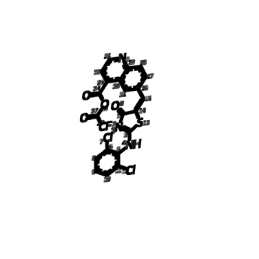 O=C1N=C(Nc2c(Cl)cccc2Cl)SC1=Cc1ccc2nccc(C(=O)OC(=O)C(F)(F)F)c2c1